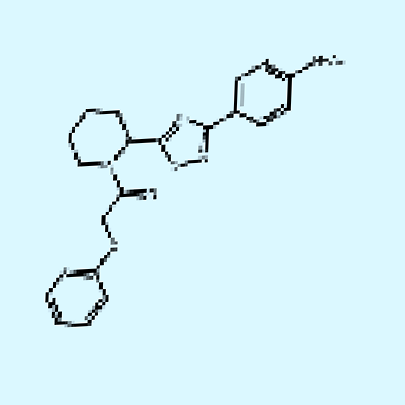 CC(=O)Nc1ccc(-c2noc(C3CCCCN3C(=O)COc3ccccc3)n2)cn1